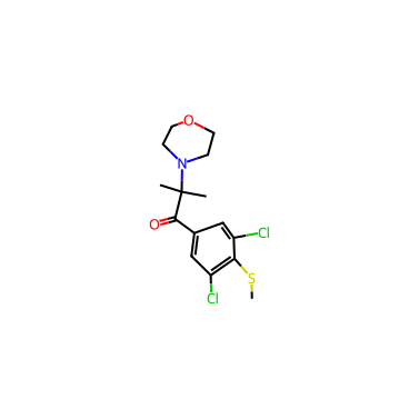 CSc1c(Cl)cc(C(=O)C(C)(C)N2CCOCC2)cc1Cl